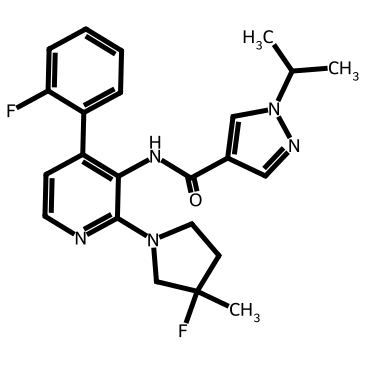 CC(C)n1cc(C(=O)Nc2c(-c3ccccc3F)ccnc2N2CCC(C)(F)C2)cn1